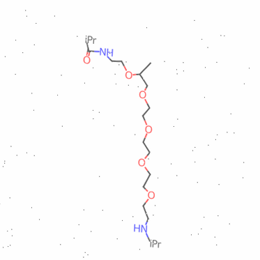 CC(C)NCCOCCOCCOCCOCC(C)OCCNC(=O)C(C)C